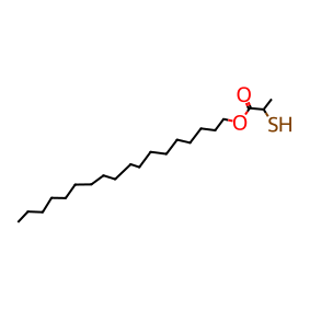 CCCCCCCCCCCCCCCCCCOC(=O)C(C)S